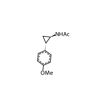 COc1ccc([C@@H]2C[C@H]2NC(C)=O)cc1